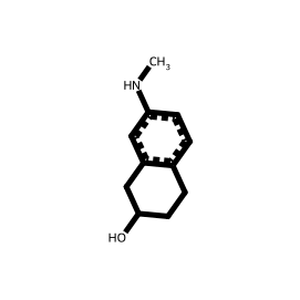 CNc1ccc2c(c1)CC(O)CC2